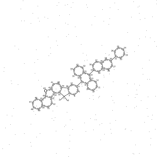 CC1(C)c2ccc(-c3c4ccccc4c(-c4ccc5cc(-c6ccccc6)ccc5c4)c4ccccc34)cc2-c2ccc3oc4c5ccccc5ccc4c3c21